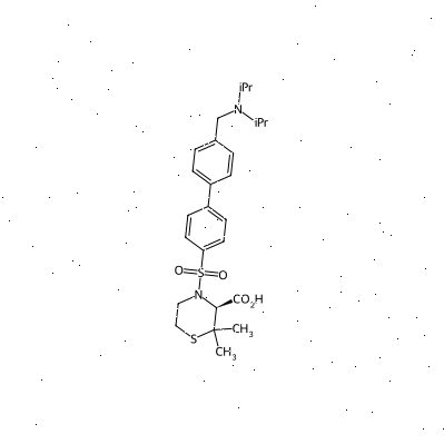 CC(C)N(Cc1ccc(-c2ccc(S(=O)(=O)N3CCSC(C)(C)[C@@H]3C(=O)O)cc2)cc1)C(C)C